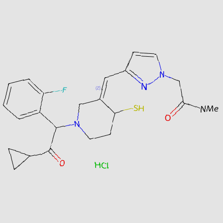 CNC(=O)Cn1ccc(/C=C2/CN(C(C(=O)C3CC3)c3ccccc3F)CCC2S)n1.Cl